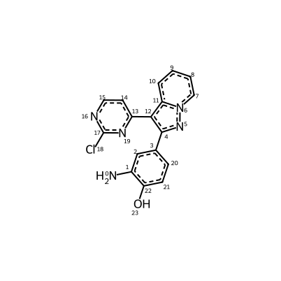 Nc1cc(-c2nn3ccccc3c2-c2ccnc(Cl)n2)ccc1O